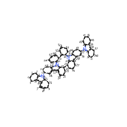 c1ccc2c(c1)c1ccccc1n2-c1ccc2c(c1)c1cccc3c4cccc5c6cc(-n7c8ccccc8c8ccccc87)ccc6n(c6ccccc6c6ccccc6n2c13)c54